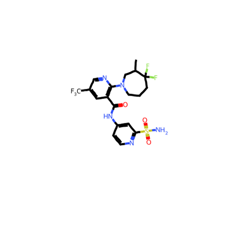 CC1CN(c2ncc(C(F)(F)F)cc2C(=O)Nc2ccnc(S(N)(=O)=O)c2)CCCC1(F)F